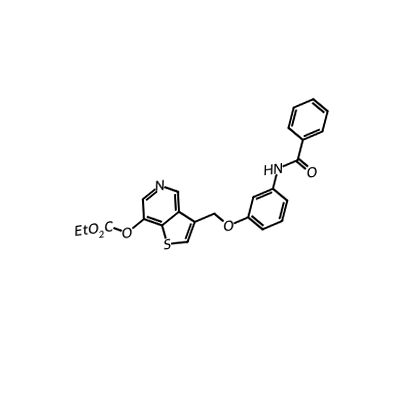 CCOC(=O)Oc1cncc2c(COc3cccc(NC(=O)c4ccccc4)c3)csc12